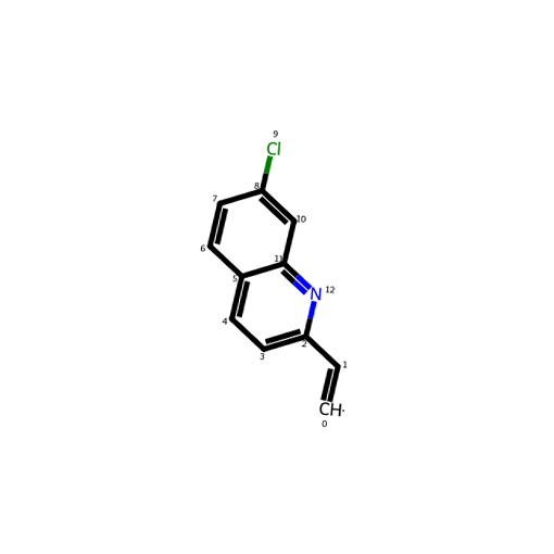 [CH]=Cc1ccc2ccc(Cl)cc2n1